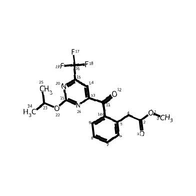 COC(=O)Cc1ccccc1C(=O)c1cc(C(F)(F)F)nc(OC(C)C)n1